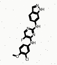 COc1ccc(Nc2nc(Nc3ccc4cn[nH]c4c3)ncc2F)cc1Cl